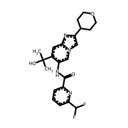 CC(C)(O)c1cc2nc(C3CCOCC3)cn2cc1NC(=O)c1cccc(C(F)F)n1